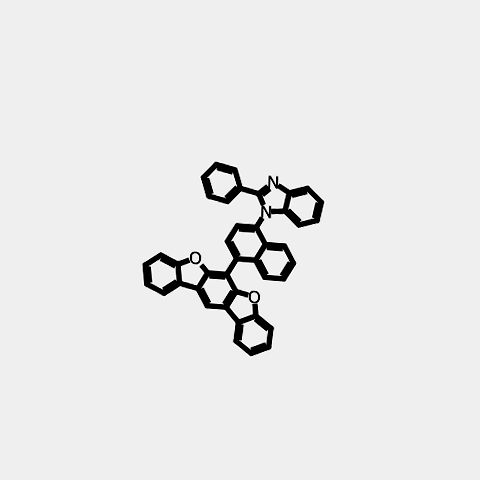 c1ccc(-c2nc3ccccc3n2-c2ccc(-c3c4oc5ccccc5c4cc4c3oc3ccccc34)c3ccccc23)cc1